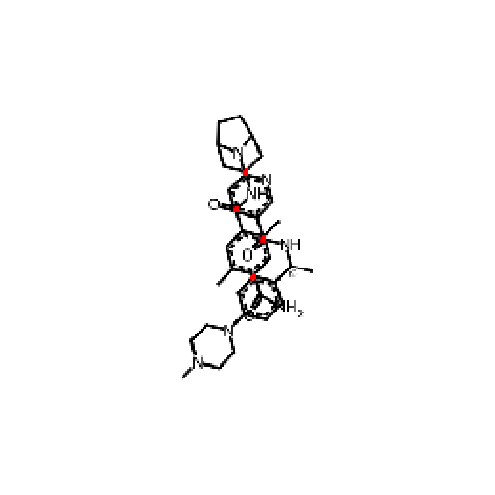 Cc1cc(C(=O)NC2CC3CCC(C2)N3c2ccc(C(=O)N[C@@H](C)c3ccc(N4CCN(C)CC4)cc3)cn2)c(C)cc1C(N)=O